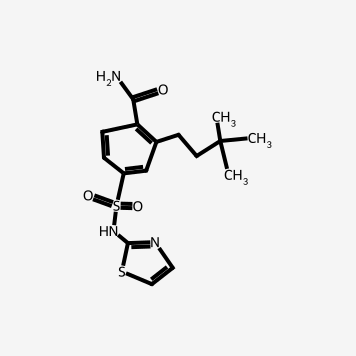 CC(C)(C)CCc1cc(S(=O)(=O)Nc2nccs2)ccc1C(N)=O